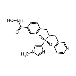 Cn1cnc(S(=O)(=O)N(Cc2ccc(C(=O)NO)cc2)Cc2cccnc2)c1